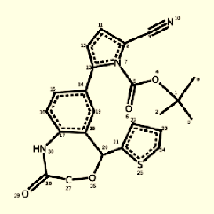 CC(C)(C)OC(=O)n1c(C#N)ccc1-c1ccc2c(c1)C(c1cccs1)OCC(=O)N2